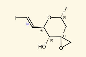 C[C@@H]1C[C@@]2(CO2)[C@H](O)[C@@H](/C=C/I)O1